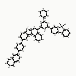 CC1(C)c2ccccc2-c2ccc(-c3nc(-c4ccccc4)nc(-c4cc5oc6ccc(-c7ccc(-c8ccc9ccccc9c8)cc7)cc6c5c5ccccc45)n3)cc21